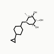 C[C@@H]1[C@@H](O)[C@H](O)[C@@H](O)CN1CC1CCC(C2CC2)CC1